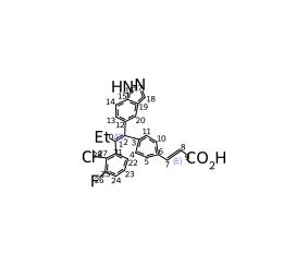 CC/C(=C(/c1ccc(/C=C/C(=O)O)cc1)c1ccc2[nH]ncc2c1)c1cccc(F)c1Cl